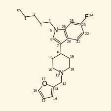 CCCCCn1cc(C2CCN(Cc3ccco3)CC2)c2ccc(F)cc21